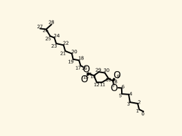 CCCCCCCOC(=O)C1CCC(C(=O)OCCCCCCCCCC(C)C)CC1